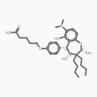 CCCCC1(CCCC)[C@H](O)[C@H](c2ccc(OCCCCC(=O)O)cc2)c2c(ccc(N(C)C)c2O)S[C@@H]1O